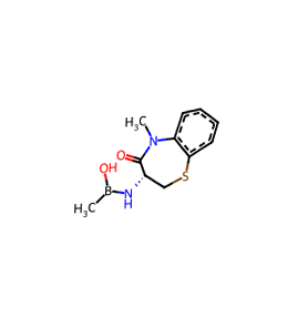 CB(O)N[C@H]1CSc2ccccc2N(C)C1=O